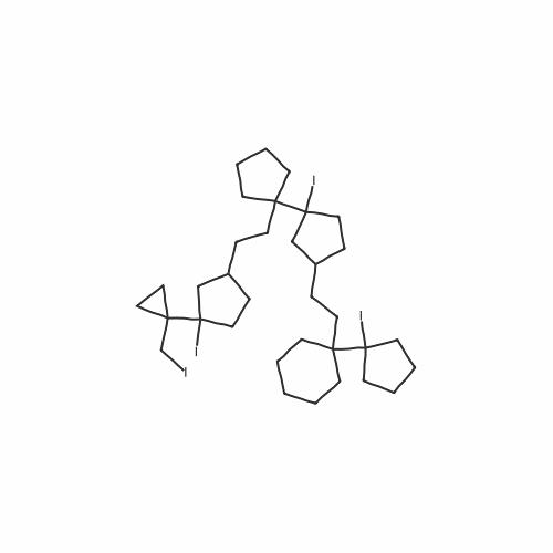 ICC1(C2(I)CCC(CCC3(C4(I)CCC(CCC5(C6(I)CCCC6)CCCCC5)C4)CCCC3)C2)CC1